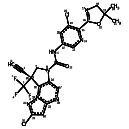 C#C[C@@]1(C(F)(F)F)CN(C(=O)Nc2cnc(C3=NCC(C)(C)O3)c(Cl)c2)c2cnc3cc(Cl)nn3c21